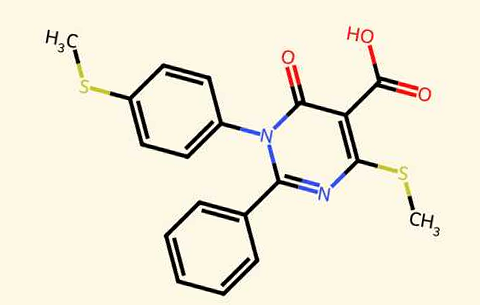 CSc1ccc(-n2c(-c3ccccc3)nc(SC)c(C(=O)O)c2=O)cc1